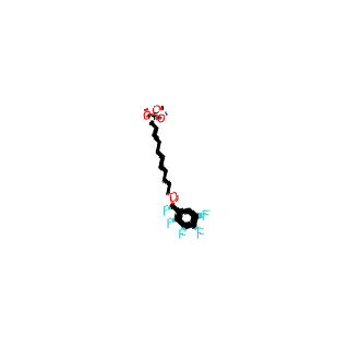 CO[Si](CCCCCCCCCCCOC(F)c1cc(F)c(F)c(F)c1F)(OC)OC